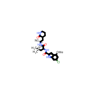 COc1cc(Cl)cc2[nH]c(C(=O)NC(C[Si](C)(C)C)C(=O)N[C@H](C#N)CC3CCCNC3=O)cc12